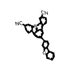 N#Cc1ccc2c3cc(-c4ccc5c(c4)oc4ccccc45)cc4c5ccc(C#N)cc5n(c2c1)c34